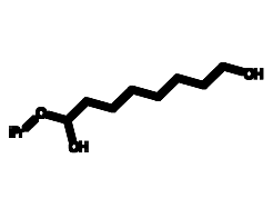 CC(C)OC(O)CCCCCCCO